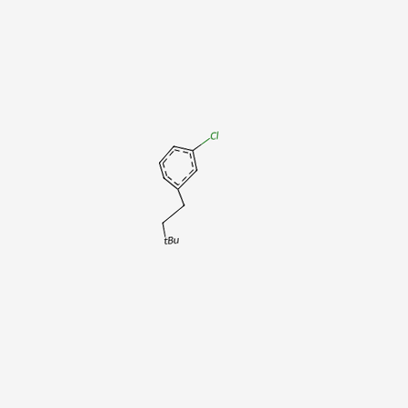 CC(C)(C)CCc1cccc(Cl)c1